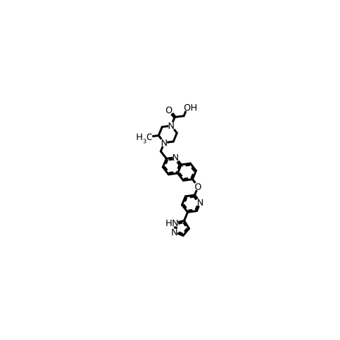 CC1CN(C(=O)CO)CCN1Cc1ccc2cc(Oc3ccc(-c4ccn[nH]4)cn3)ccc2n1